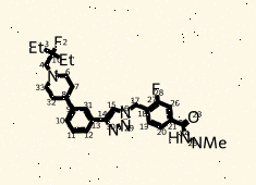 CCC(F)(CC)CN1CCC(c2cccc(-c3cn(Cc4ccc(C(=O)NNC)cc4F)nn3)c2)CC1